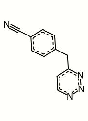 N#Cc1ccc(Cc2ccnnn2)cc1